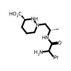 CC(C)C(N)C(=O)N[C@@H](C)CN1CCC[C@@H](C(=O)O)N1